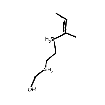 CC=C(C)[SiH2]CC[SiH2]CO